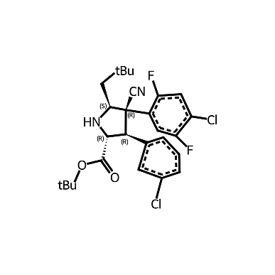 CC(C)(C)C[C@@H]1N[C@@H](C(=O)OC(C)(C)C)[C@H](c2cccc(Cl)c2)[C@@]1(C#N)c1cc(F)c(Cl)cc1F